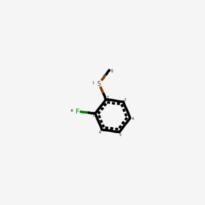 [CH2]Sc1ccccc1F